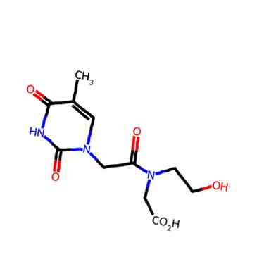 Cc1cn(CC(=O)N(CCO)CC(=O)O)c(=O)[nH]c1=O